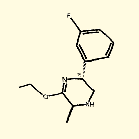 CCOC1=N[C@H](c2[c]ccc(F)c2)CNC1C